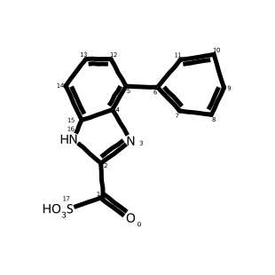 O=C(c1nc2c(-c3ccccc3)cccc2[nH]1)S(=O)(=O)O